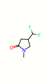 CN1CC(C(F)F)CC1=O